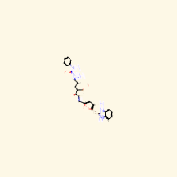 O=C(NCCCC1C(=O)S/C(=C\c2ccc(Sc3nc4ccccc4[nH]3)o2)C1=O)Nc1ccccc1